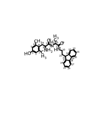 Cc1cc(O)cc(C)c1C[C@H](N)C(=O)N[C@H](C)C(=O)NCCC1c2ccccc2-c2ccccc21